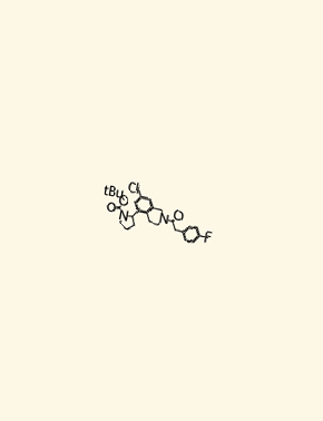 CC(C)(C)OC(=O)N1CCCC1c1cc(Cl)cc2c1CCN(C(=O)Cc1ccc(F)cc1)C2